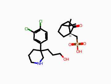 CC1(C)C2CC[C@@]1(CS(=O)(=O)O)C(=O)C2.OCCCC1(c2ccc(Cl)c(Cl)c2)CCCNC1